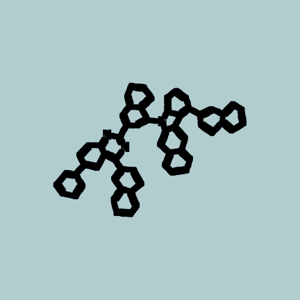 c1ccc(-c2ccc3nc(-c4cc(-n5c6cc7ccccc7cc6c6c(-c7ccc8ccccc8c7)cccc65)c5ccccc5c4)nc(-c4ccc5ccccc5c4)c3c2)cc1